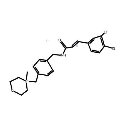 C[N+]1(Cc2ccc(CNC(=O)/C=C/c3ccc(Cl)c(Cl)c3)cc2)CCOCC1.[I-]